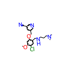 COc1cc(OCc2cncc(C#N)c2)c(CNCCCN(C)C)cc1Cl